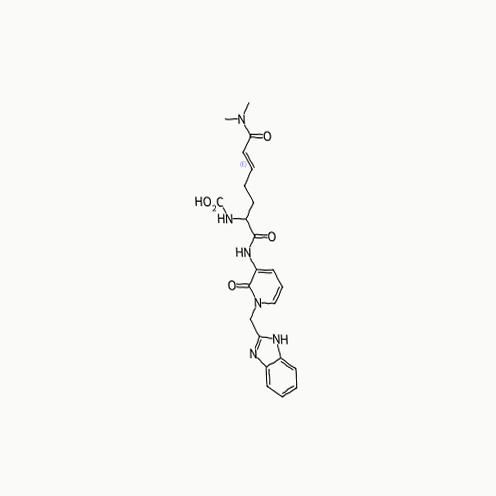 CN(C)C(=O)/C=C/CCC(NC(=O)O)C(=O)Nc1cccn(Cc2nc3ccccc3[nH]2)c1=O